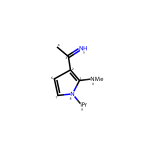 CNc1c(C(C)=N)ccn1C(C)C